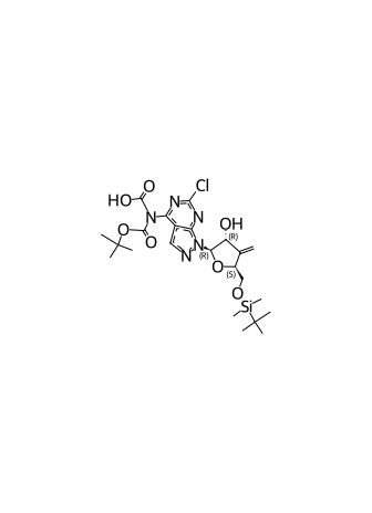 C=C1[C@@H](O)[C@H](n2ncc3c(N(C(=O)O)C(=O)OC(C)(C)C)nc(Cl)nc32)O[C@@H]1CO[Si](C)(C)C(C)(C)C